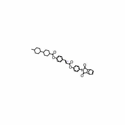 CC1CCC(C2CCC(C(=O)Oc3ccc(/C=C/C(=O)Oc4ccc(N5C(=O)C6C7C=CC(C7)C6C5=O)cc4)cc3)CC2)CC1